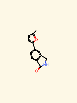 Cc1ccc(-c2ccc3c(c2)CNC3=O)o1